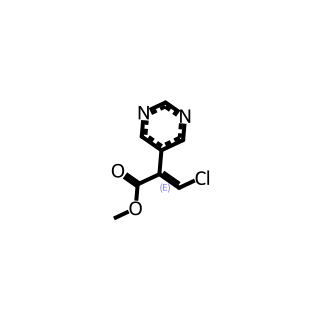 COC(=O)/C(=C/Cl)c1cncnc1